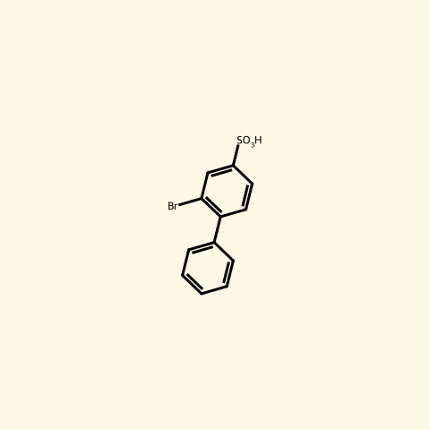 O=S(=O)(O)c1ccc(-c2ccccc2)c(Br)c1